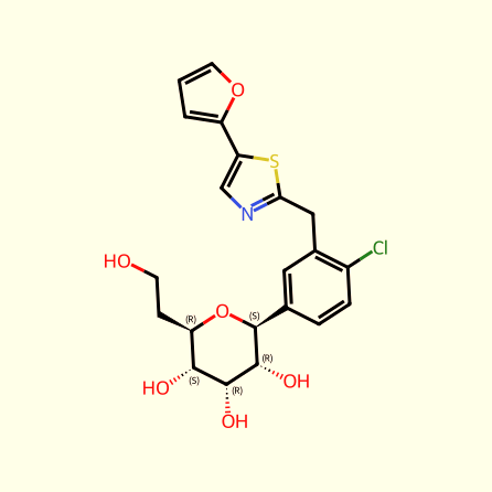 OCC[C@H]1O[C@@H](c2ccc(Cl)c(Cc3ncc(-c4ccco4)s3)c2)[C@H](O)[C@H](O)[C@@H]1O